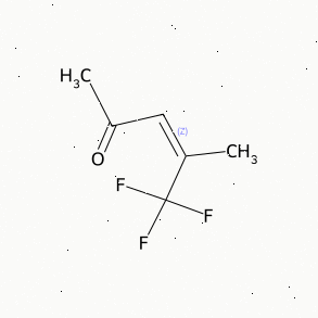 CC(=O)/C=C(/C)C(F)(F)F